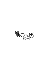 Cc1cccc(C=Cc2ccc(N=[N+]=[N-])cc2O)n1